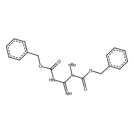 CCCCN(C(=N)NC(=O)OCc1ccccc1)C(=O)OCc1ccccc1